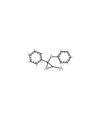 CC1OC1(Oc1ccccc1)c1ccccc1